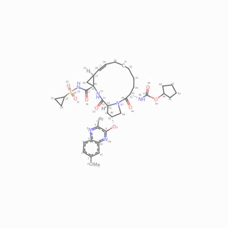 COc1ccc2nc(C(C)C)c(O[C@@H]3C[C@H]4C(=O)N[C@]5(C(=O)NS(=O)(=O)C6CC6)C[C@H]5/C=C\CCCCC[C@H](NC(=O)OC5CCCC5)C(=O)N4C3)nc2c1